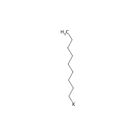 CCCCCCCC[CH2][K]